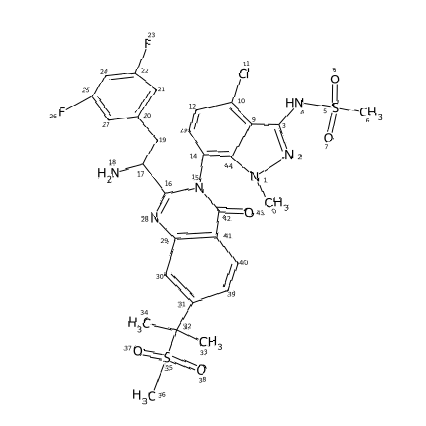 Cn1nc(NS(C)(=O)=O)c2c(Cl)ccc(-n3c(C(N)Cc4cc(F)cc(F)c4)nc4cc(C(C)(C)S(C)(=O)=O)ccc4c3=O)c21